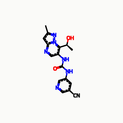 Cc1cc2ncc(NC(=O)Nc3cncc(C#N)c3)c([C@H](C)O)n2n1